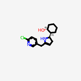 O[C@@H]1CCCC[C@H]1C1CC=C(Cc2ccc(Cl)nc2)N1